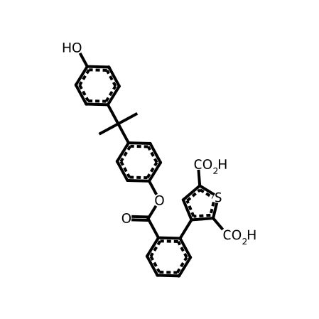 CC(C)(c1ccc(O)cc1)c1ccc(OC(=O)c2ccccc2-c2cc(C(=O)O)sc2C(=O)O)cc1